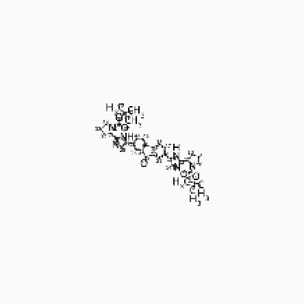 CC(C)(C)OC(=O)N1CCCC1c1ncc(-c2ccc3c(c2)C(=O)c2cc(-c4cnc(C5CCCN5C(=O)OC(C)(C)C)[nH]4)ccc2-3)[nH]1